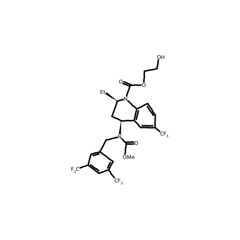 CC[C@@H]1C[C@H](N(Cc2cc(C(F)(F)F)cc(C(F)(F)F)c2)C(=O)OC)c2cc(C(F)(F)F)ccc2N1C(=O)OCCO